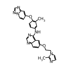 Cc1cc(Nc2ncnc3ccc(OCCn4ccnc4C)cc23)ccc1Oc1ccn2ncnc2c1